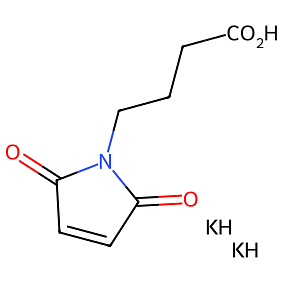 O=C(O)CCCN1C(=O)C=CC1=O.[KH].[KH]